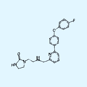 O=C1NCCN1CCNCc1cccc(-c2ccc(Oc3ccc(F)cc3)cc2)n1